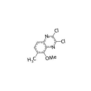 COc1c(C)ccc2nc(Cl)c(Cl)nc12